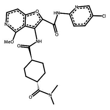 COc1nccc2oc(C(=O)Nc3ccc(Cl)cn3)c(NC(=O)[C@H]3CC[C@H](C(=O)N(C)C)CC3)c12